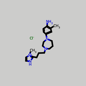 Cc1cc(N2CCCN(CCCc3[nH]cc[n+]3C)CC2)ccc1N.[Cl-]